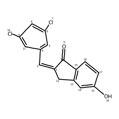 O=C1C(=Cc2cc(Cl)cc(Cl)c2)Cc2cc(O)ccc21